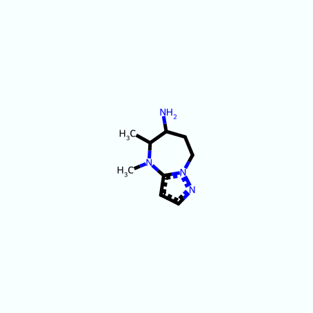 CC1C(N)CCn2nccc2N1C